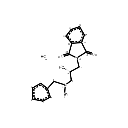 CC(C)N(Cc1ccccc1)C[C@H](O)CN1C(=O)c2ccccc2C1=O.Cl